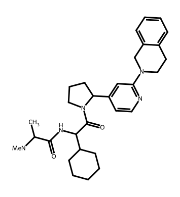 CNC(C)C(=O)NC(C(=O)N1CCCC1c1ccnc(N2CCc3ccccc3C2)c1)C1CCCCC1